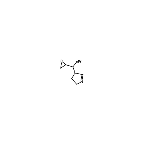 CC[CH]C(C1CO1)N1C=NCC1